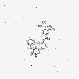 C=C/C=C(\C=C/CC(C)(C)C)C(=O)Nc1cccc(-c2cc(Nc3ccccn3)c(=O)[nH]n2)c1C